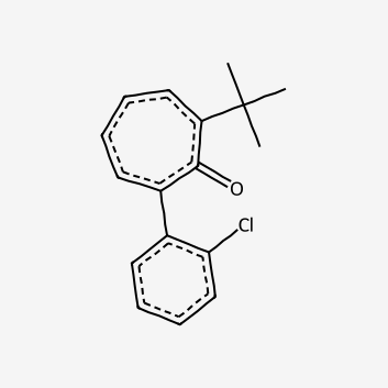 CC(C)(C)c1ccccc(-c2ccccc2Cl)c1=O